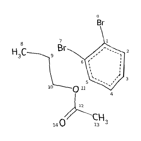 Brc1ccccc1Br.CCCOC(C)=O